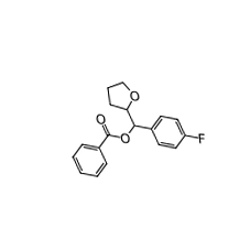 O=C(OC(c1ccc(F)cc1)C1CCCO1)c1ccccc1